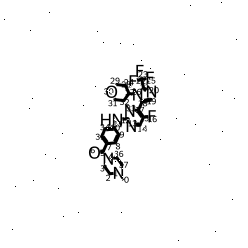 CN1CCN(C(=O)c2ccc(Nc3ncc(F)c(-c4cnc(C(F)(F)F)n4C4CCOCC4)n3)cc2)CC1